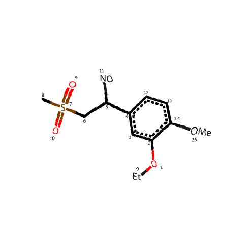 CCOc1cc(C(CS(C)(=O)=O)N=O)ccc1OC